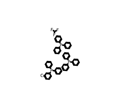 FC(F)F.[Cu].c1ccc(P(c2ccccc2)c2ccccc2)cc1.c1ccc(P(c2ccccc2)c2ccccc2)cc1.c1ccc(P(c2ccccc2)c2ccccc2)cc1